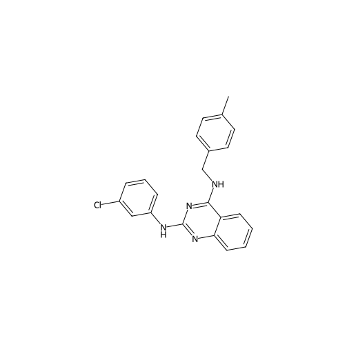 Cc1ccc(CNc2nc(Nc3cccc(Cl)c3)nc3ccccc23)cc1